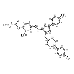 CCOC(=O)C(C)Oc1ccc(SCc2sc(-c3ccc(C(F)(F)F)cc3)nc2CN2CCN(c3ccc(C(C)=O)cc3)CC2)cc1CC